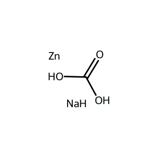 O=C(O)O.[NaH].[Zn]